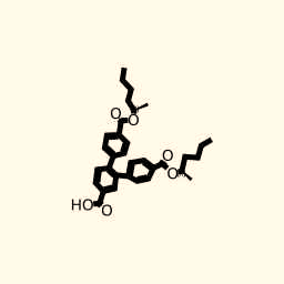 CCCC[C@@H](C)OC(=O)c1ccc(-c2ccc(C(=O)O)cc2-c2ccc(C(=O)O[C@H](C)CCCC)cc2)cc1